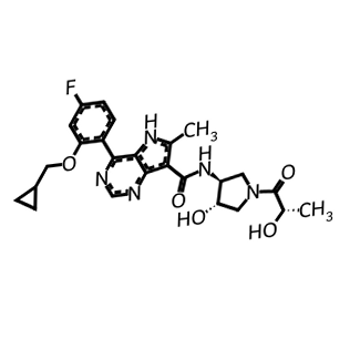 Cc1[nH]c2c(-c3ccc(F)cc3OCC3CC3)ncnc2c1C(=O)N[C@H]1CN(C(=O)[C@H](C)O)C[C@@H]1O